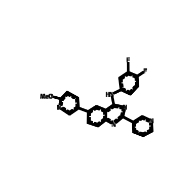 COc1ccc(-c2ccc3nc(-c4cccnc4)nc(Nc4ccc(F)c(F)c4)c3c2)cn1